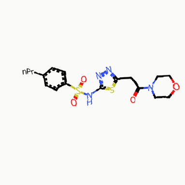 CCCc1ccc(S(=O)(=O)Nc2nnc(CC(=O)N3CCOCC3)s2)cc1